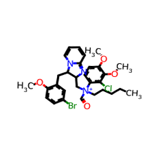 CCCCC[N+](C=O)(CC1N=C2C=CC=CN2C1Cc1cc(Br)ccc1OC)c1ccc(OC)c(OC)c1Cl